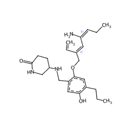 C=C/C(=C\C(N)=C/CC)COc1cc(CCC)c(O)cc1CNC1CCC(=O)NC1